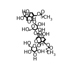 CSC(=O)OCC1=C[C@H](O)[C@@H]2C(C(=O)O)=CO[C@@H](O[C@@H]3O[C@H](CO)[C@@H](OC(=O)C4=CO[C@@H](O[C@@H]5O[C@H](CO)[C@@H](O)[C@H](O)[C@H]5O)[C@@H]5C(COC(=O)SC)=C[C@H](O)[C@H]45)[C@H](O)[C@H]3O)[C@H]12